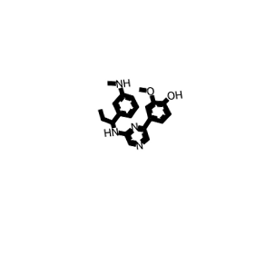 CCC(Nc1cncc(-c2ccc(O)c(OC)c2)n1)c1cccc(NC)c1